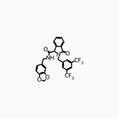 O=C(NCc1ccc2c(c1)OCO2)C1c2ccccc2C(=O)N1Cc1cc(C(F)(F)F)cc(C(F)(F)F)c1